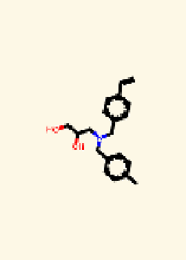 C=Cc1ccc(CN(Cc2ccc(C)cc2)CC(O)CO)cc1